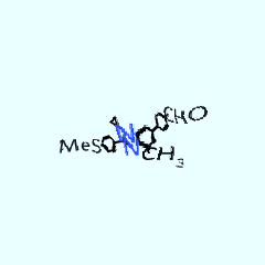 CSc1ccc(-c2nc3c(C)cc(-c4ccc(C=O)cc4)cc3n2C2CC2)cc1